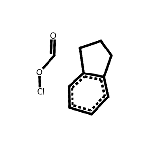 O=COCl.c1ccc2c(c1)CCC2